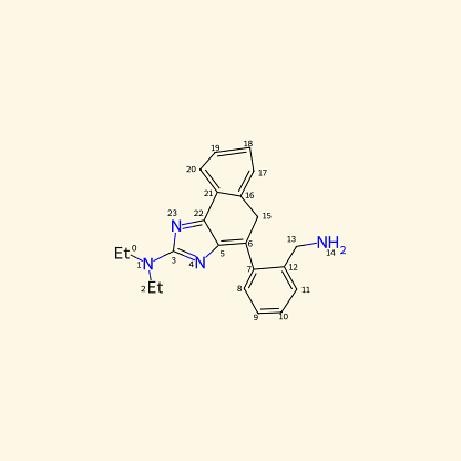 CCN(CC)C1=NC2=C(c3ccccc3CN)Cc3ccccc3C2=N1